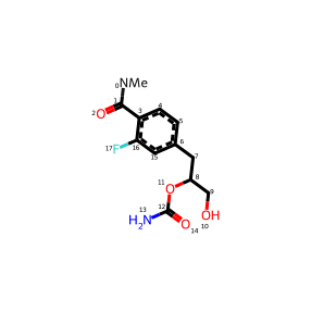 CNC(=O)c1ccc(CC(CO)OC(N)=O)cc1F